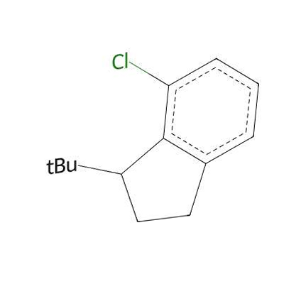 CC(C)(C)C1CCc2cccc(Cl)c21